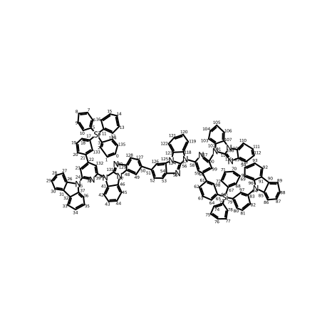 c1ccc([Si](c2ccccc2)(c2ccccc2)c2cccc(-c3cc(-n4c5ccccc5c5ccccc54)nc(-n4c5ccccc5n5c6cc(-c7ccc8nc9n(-c%10cc(-c%11cccc([Si](c%12ccccc%12)(c%12ccccc%12)c%12cccc(-n%13c%14ccccc%14c%14ccccc%14%13)c%12)c%11)cc(-n%11c%12ccccc%12n%12c%13ccccc%13nc%11%12)n%10)c%10ccccc%10n9c8c7)ccc6nc45)c3)c2)cc1